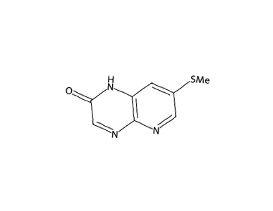 CSc1cnc2ncc(=O)[nH]c2c1